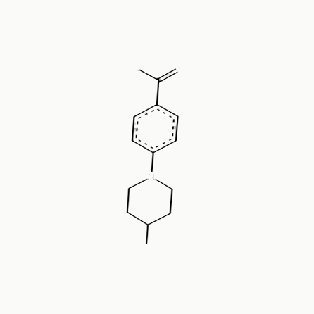 O=C(I)c1ccc(N2CCC(I)CC2)cc1